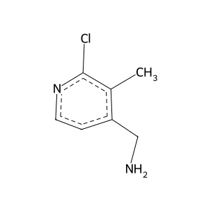 Cc1c(CN)ccnc1Cl